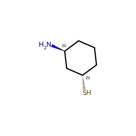 N[C@H]1CCC[C@H](S)C1